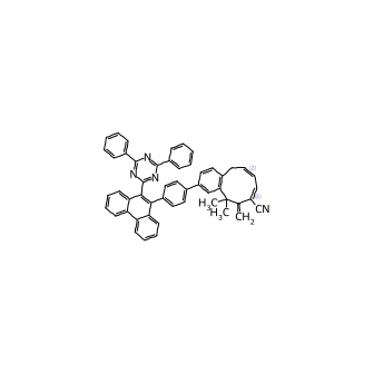 C=C1/C(C#N)=C\C=C/Cc2ccc(-c3ccc(-c4c(-c5nc(-c6ccccc6)nc(-c6ccccc6)n5)c5ccccc5c5ccccc45)cc3)cc2C1(C)C